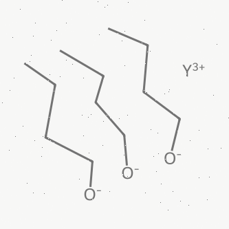 CCCC[O-].CCCC[O-].CCCC[O-].[Y+3]